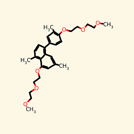 COCCOCCOc1ccc(-c2ccc(C)c3c(OCCOCCOC)cc(C)cc23)cc1C